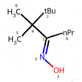 CCC/C(=N\O)C(C)(C)C(C)(C)C